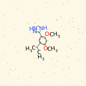 COc1cc(OC)c(C(C)C)cc1C1=NNCN1